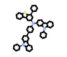 c1ccc(-c2cc(N(c3ccc(-c4ccc5c(c4)c4ccccc4n5-c4ccccc4)cc3)c3ccc4c5ccccc5n(-c5ccccc5)c4c3)cc3c2sc2ccccc23)cc1